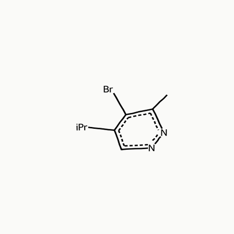 Cc1nncc(C(C)C)c1Br